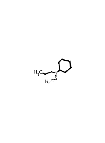 CCCN(SC)C1CCCCC1